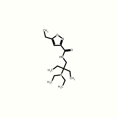 CCc1cc(C(=O)NCC(CC)(CC)N(CC)CC)no1